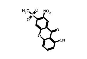 CS(=O)(=O)c1cc2oc3cccc(C#N)c3c(=O)c2cc1[N+](=O)[O-]